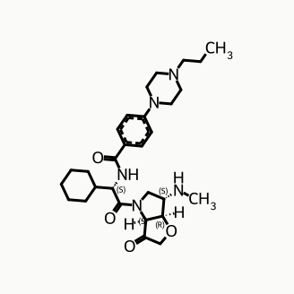 CCCN1CCN(c2ccc(C(=O)N[C@H](C(=O)N3C[C@H](NC)[C@H]4OCC(=O)[C@H]43)C3CCCCC3)cc2)CC1